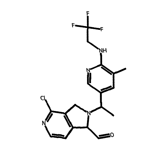 Cc1cc(C(C)N2Cc3c(ccnc3Cl)C2C=O)cnc1NCC(F)(F)F